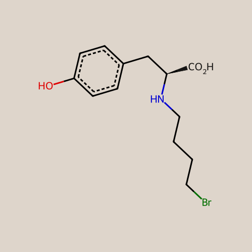 O=C(O)[C@H](Cc1ccc(O)cc1)NCCCCBr